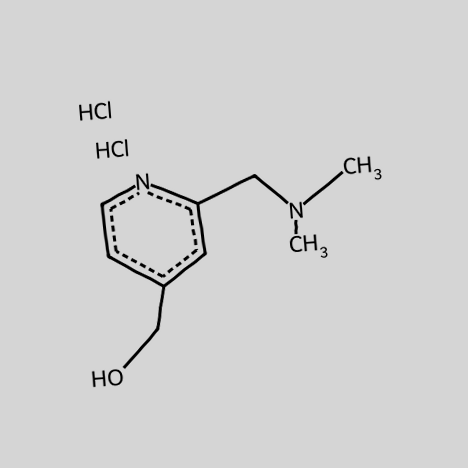 CN(C)Cc1cc(CO)ccn1.Cl.Cl